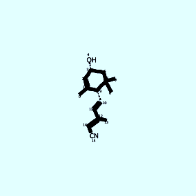 CC1=C[C@H](O)CC(C)(C)[C@@H]1/C=C/C(C)=C/C#N